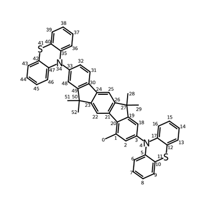 Cc1cc(N2c3ccccc3Sc3ccccc32)cc2c1-c1cc3c(cc1C2(C)C)-c1ccc(N2c4ccccc4Sc4ccccc42)cc1C3(C)C